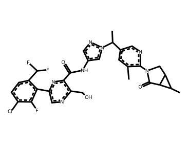 Cc1cc(C(C)n2cc(NC(=O)c3nc(-c4c(C(F)F)ccc(Cl)c4F)cnc3CO)cn2)cnc1N1CC2C(C)C2C1=O